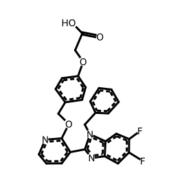 O=C(O)COc1ccc(COc2ncccc2-c2nc3cc(F)c(F)cc3n2Cc2ccccc2)cc1